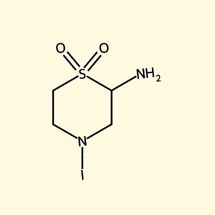 NC1CN(I)CCS1(=O)=O